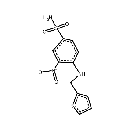 NS(=O)(=O)c1ccc(NCc2cccs2)c([N+](=O)[O-])c1